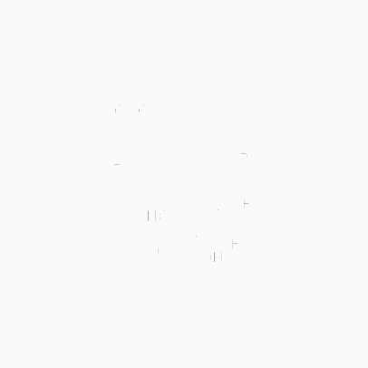 O=Cc1cc(Br)c(C(F)(F)P(=O)(O)O)cc1F